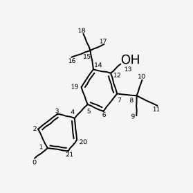 Cc1ccc(-c2cc(C(C)(C)C)c(O)c(C(C)(C)C)c2)cc1